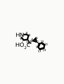 O=C(O)N(C1CCNCC1)[C@@H]1C[C@H]1c1ccccc1